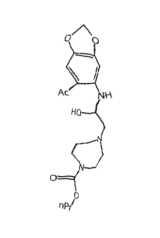 CCCOC(=O)N1CCN(CC(O)Nc2cc3c(cc2C(C)=O)OCO3)CC1